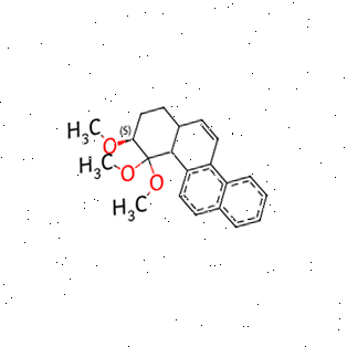 CO[C@H]1CCC2C=Cc3c(ccc4ccccc34)C2C1(OC)OC